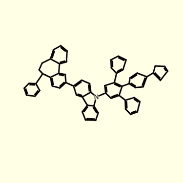 C1=CCC(c2ccc(-c3c(-c4ccccc4)cc(-n4c5ccccc5c5cc(-c6ccc7c(c6)-c6ccccc6CCC7c6ccccc6)ccc54)cc3-c3ccccc3)cc2)=C1